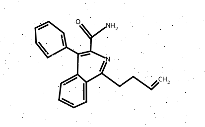 C=CCCc1nc(C(N)=O)c(-c2ccccc2)c2ccccc12